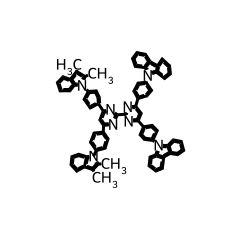 Cc1c(C)n(-c2ccc(-c3cc(-c4ccc(-n5c(C)c(C)c6ccccc65)cc4)nc(-c4nc(-c5ccc(-n6c7ccccc7c7ccccc76)cc5)cc(-c5ccc(-n6c7ccccc7c7ccccc76)cc5)n4)n3)cc2)c2ccccc12